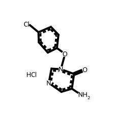 Cl.Nc1cncn(Oc2ccc(Cl)cc2)c1=O